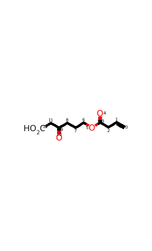 C=CCC(=O)OCCCC(=O)CC(=O)O